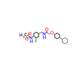 CS(=O)(=O)Nc1ccc(CNC(=O)COc2ccc(C3CCCCC3)cc2)cc1F